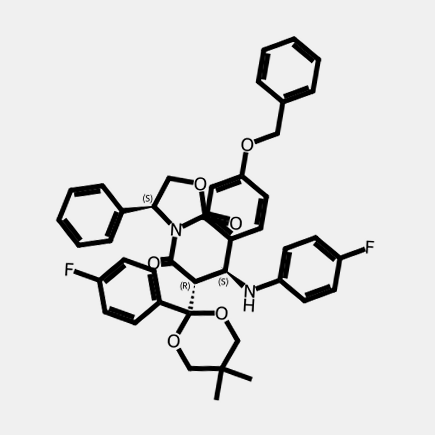 CC1(C)COC(c2ccc(F)cc2)([C@H](C(=O)N2C(=O)OC[C@@H]2c2ccccc2)[C@H](Nc2ccc(F)cc2)c2ccc(OCc3ccccc3)cc2)OC1